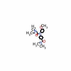 CCN(CC)CC(=O)N(c1ccc(C(=O)N(CC)CC)cc1)c1cccc(OC)c1